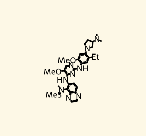 CCc1cc(Nc2ncc(OC)c(Nc3ccc4nccnc4c3N(C)SC)n2)c(OC)cc1N1CCC(N(C)C)C1